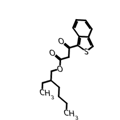 CCCCC(CC)COC(=O)CC(=O)c1scc2ccccc12